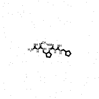 C/N=C(\NCC1CCCC1/N=C(/NC)NC(=N)NCC1CCCC1)NC(=N)N